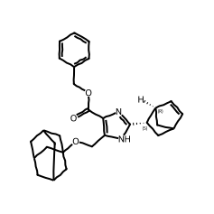 O=C(OCc1ccccc1)c1nc([C@H]2CC3C=C[C@H]2C3)[nH]c1COC12CC3CC(CC(C3)C1)C2